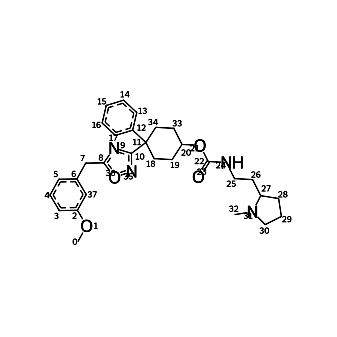 COc1cccc(Cc2nc(C3(c4ccccc4)CCC(OC(=O)NCCC4CCCN4C)CC3)no2)c1